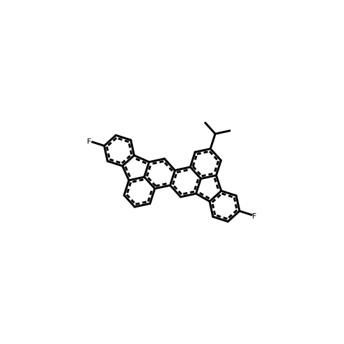 CC(C)c1cc2c3cc(F)ccc3c3cc4c(cc5c6ccc(F)cc6c6cccc4c65)c(c1)c23